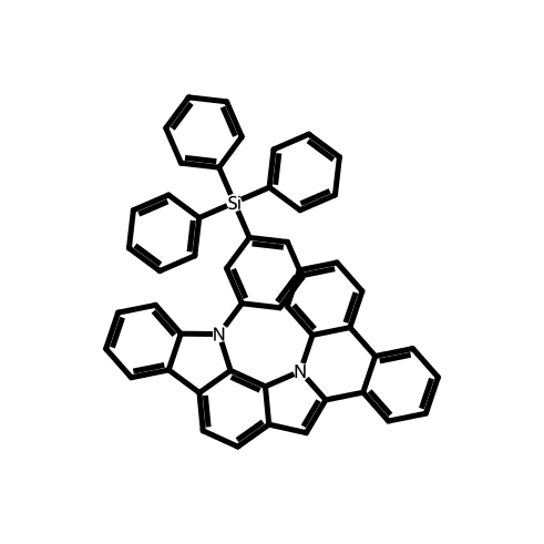 c1ccc([Si](c2ccccc2)(c2ccccc2)c2cccc(-n3c4ccccc4c4ccc5cc6c7ccccc7c7ccccc7n6c5c43)c2)cc1